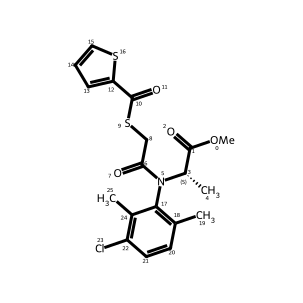 COC(=O)[C@H](C)N(C(=O)CSC(=O)c1cccs1)c1c(C)ccc(Cl)c1C